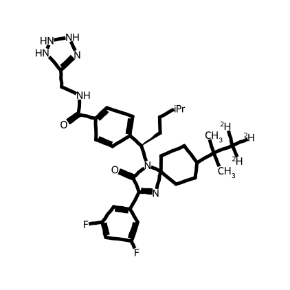 [2H]C([2H])([2H])C(C)(C)C1CCC2(CC1)N=C(c1cc(F)cc(F)c1)C(=O)N2[C@H](CCC(C)C)c1ccc(C(=O)NCC2=NNNN2)cc1